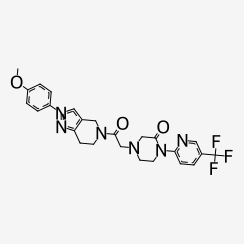 COc1ccc(-n2cc3c(n2)CCN(C(=O)CN2CCN(c4ccc(C(F)(F)F)cn4)C(=O)C2)C3)cc1